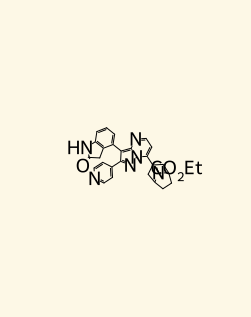 CCOC(=O)N1C2CCC1CC(c1ccnc3c(-c4cccc5c4CC(=O)N5)c(-c4ccncc4)nn13)C2